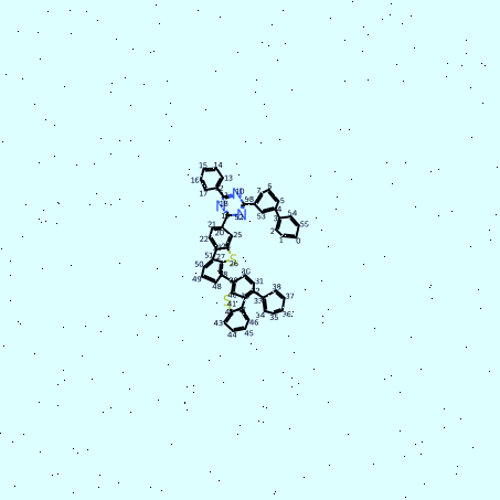 c1ccc(-c2cccc(-c3nc(-c4ccccc4)nc(-c4ccc5c(c4)sc4c(-c6ccc(-c7ccccc7)c7c6sc6ccccc67)cccc45)n3)c2)cc1